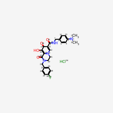 CN(C)c1ccc(CNC(=O)c2cn3c(c(O)c2=O)C(=O)N(Cc2ccc(F)cc2)CC3)cc1.Cl